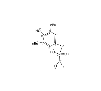 CCCCc1cc(CP(=O)(O)C2CO2)cc(CCCC)c1O